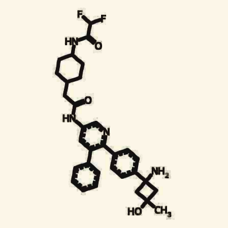 CC1(O)CC(N)(c2ccc(-c3ncc(NC(=O)CC4CCC(NC(=O)C(F)F)CC4)cc3-c3ccccc3)cc2)C1